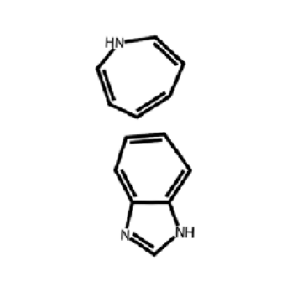 C1=CC=CNC=C1.c1ccc2[nH]cnc2c1